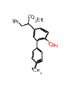 CCOC(=O)C(CC(C)C)c1ccc(O)c(-c2ccc(C(F)(F)F)cc2)c1